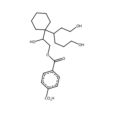 O=C(O)c1ccc(C(=O)OCC(O)C2(C(CCO)CCCO)CCCCC2)cc1